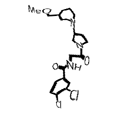 COCC1CCCN(C2CCN(C(=O)CNC(=O)c3ccc(Cl)c(Cl)c3)C2)C1